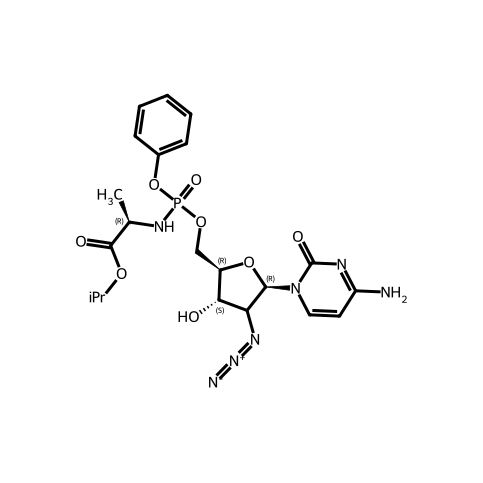 CC(C)OC(=O)[C@@H](C)NP(=O)(OC[C@H]1O[C@@H](n2ccc(N)nc2=O)C(N=[N+]=[N-])[C@@H]1O)Oc1ccccc1